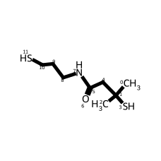 CC(C)(S)CC(=O)NCCCS